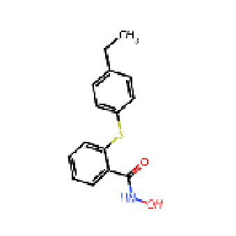 CCc1ccc(Sc2ccccc2C(=O)NO)cc1